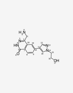 NCc1n[nH]c(=O)c2ccc(-c3cnn(CCO)c3)cc12